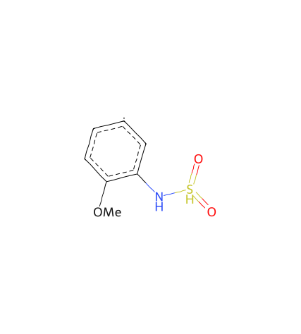 COc1cc[c]cc1N[SH](=O)=O